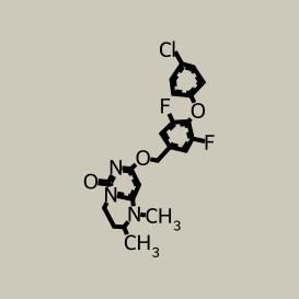 CC1CCn2c(cc(OCc3cc(F)c(Oc4ccc(Cl)cc4)c(F)c3)nc2=O)N1C